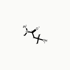 CC(C)N(C)C(=O)CC(C)(C)O